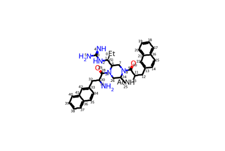 CC[C@H](NC(=N)N)C1CN(C(=O)C(Cc2ccc3ccccc3c2)NC(C)=O)C(C)CN1C(=O)C(N)Cc1ccc2ccccc2c1